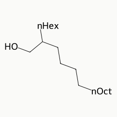 CCCCCCCCCCCCC(CO)CCCCCC